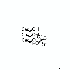 O=P([O-])([O-])[O-].O[CH2][Ca+].O[CH2][Ca+].O[CH2][Ca+]